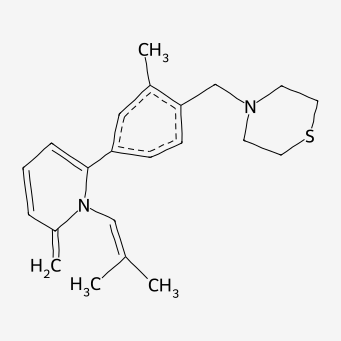 C=C1C=CC=C(c2ccc(CN3CCSCC3)c(C)c2)N1C=C(C)C